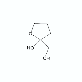 OCC1(O)CCCO1